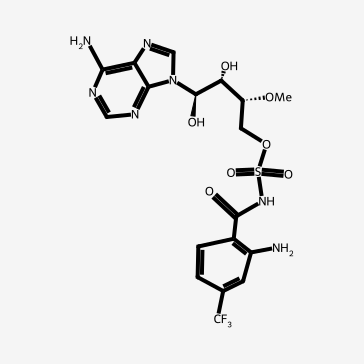 CO[C@H](COS(=O)(=O)NC(=O)c1ccc(C(F)(F)F)cc1N)[C@@H](O)[C@@H](O)n1cnc2c(N)ncnc21